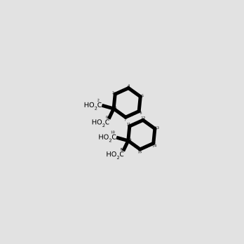 O=C(O)C1(C(=O)O)CCCCC1.O=C(O)C1(C(=O)O)CCCCC1